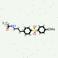 COc1ccc(S(=O)(=O)c2ccc(CCCNC(=O)C(F)(F)F)cc2)cc1